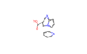 O=C(O)c1cnc2cccn2c1.c1ccncc1